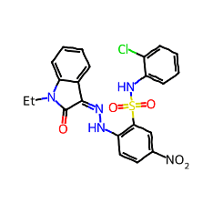 CCN1C(=O)/C(=N\Nc2ccc([N+](=O)[O-])cc2S(=O)(=O)Nc2ccccc2Cl)c2ccccc21